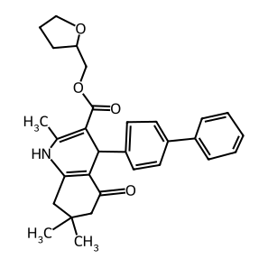 CC1=C(C(=O)OCC2CCCO2)C(c2ccc(-c3ccccc3)cc2)C2=C(CC(C)(C)CC2=O)N1